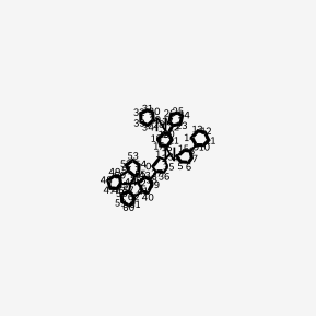 C1=CC(N(c2cccc(-c3ccccc3)c2)c2ccc3c(c2)c2ccccc2n3-c2ccccc2)CC=C1c1ccc2c(c1)C1(c3ccccc3-c3ccccc31)c1ccccc1-2